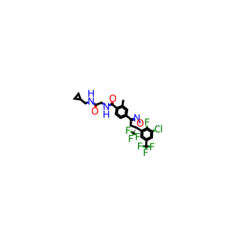 Cc1cc(C2=NO[C@](c3cc(C(F)(F)F)cc(Cl)c3F)(C(F)(F)F)C2)ccc1C(=O)NCC(=O)NCC1CC1